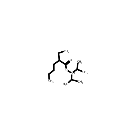 CCCCC(CC)C(=O)[O][SnH]([CH](C)C)[CH](C)C